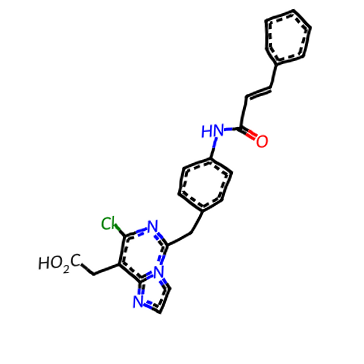 O=C(O)Cc1c(Cl)nc(Cc2ccc(NC(=O)C=Cc3ccccc3)cc2)n2ccnc12